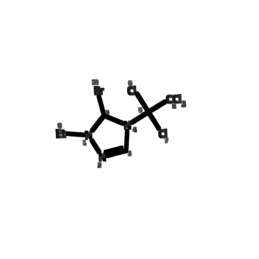 CCN1N=CN(C(Cl)(Cl)C(Cl)(Cl)Cl)C1Br